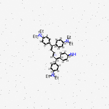 CCN(CC)c1ccc(C(=C/C=C/C(=C2C=CC(=N)C=C2)c2ccc(N(CC)CC)cc2)c2ccc(N(CC)CC)cc2)cc1